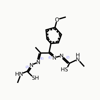 CN/C(S)=N/N=C(C)/C(=N/N=C(\S)NC)c1ccc(OC)cc1